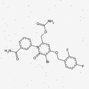 NC(=O)OCc1cc(OCc2ccc(F)cc2F)c(Br)c(=O)n1-c1cccc(C(N)=O)c1